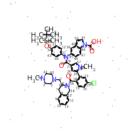 CN1CCN(C[C@@H]2Cc3ccccc3CN2C(=O)c2ccc(Cl)cc2-c2cc(C(=O)N(c3ccc(O[Si](C)(C)C(C)(C)C)cc3)c3ccc4c(ccn4C(=O)O)c3)cn2C)CC1